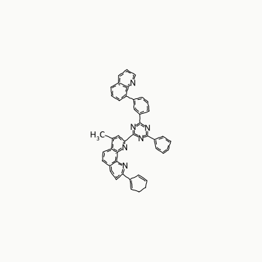 Cc1cc(-c2nc(-c3ccccc3)nc(-c3cccc(-c4cccc5cccnc45)c3)n2)nc2c1ccc1ccc(C3=CCCC=C3)nc12